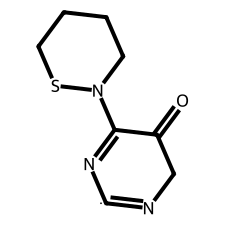 O=C1CN=[C]N=C1N1CCCCS1